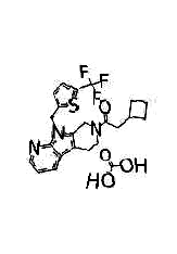 O=C(CC1CCC1)N1CCc2c(n(Cc3ccc(C(F)(F)F)s3)c3ncccc23)C1.O=C(O)O